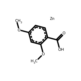 COc1ccc(C(=O)O)c(OC)c1.[Zn]